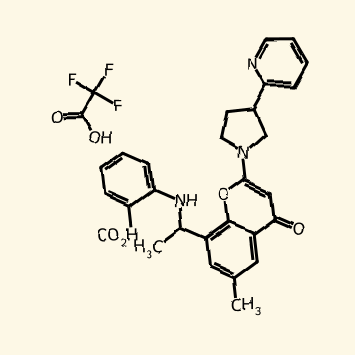 Cc1cc(C(C)Nc2ccccc2C(=O)O)c2oc(N3CCC(c4ccccn4)C3)cc(=O)c2c1.O=C(O)C(F)(F)F